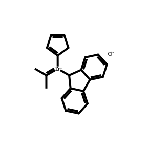 C[C](C)=[Zr+]([C]1=CC=CC1)[CH]1c2ccccc2-c2ccccc21.[Cl-]